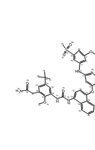 COc1cc(Nc2cc(Oc3ccc(NC(=O)Nc4cc(C(C)(C)C)cc(CC(N)=O)c4OC)c4ccccc34)ccn2)cc(S(C)(=O)=O)c1